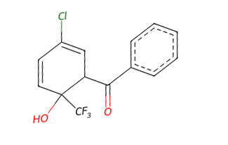 O=C(c1ccccc1)C1C=C(Cl)C=CC1(O)C(F)(F)F